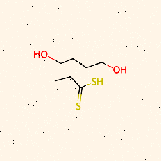 CCC(=S)S.OCCCCO